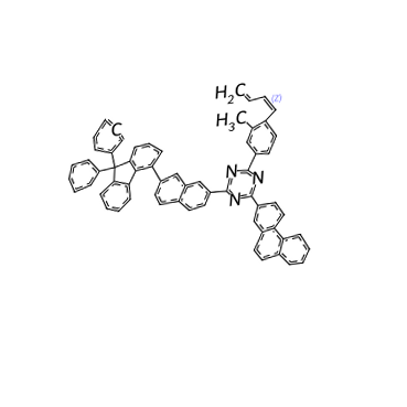 C=C/C=C\c1ccc(-c2nc(-c3ccc4ccc(-c5cccc6c5-c5ccccc5C6(c5ccccc5)c5ccccc5)cc4c3)nc(-c3ccc4c(ccc5ccccc54)c3)n2)cc1C